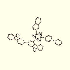 C1=CC(c2cc(-c3nc(-c4ccc(-c5ccccc5)cc4)nc(-c4ccc5ccccc5c4)n3)c3c(c2)oc2ccccc23)Cc2oc3ccccc3c21